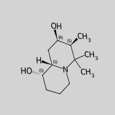 C[C@@H]1[C@H](O)C[C@H]2[C@@H](O)CCCN2C1(C)C